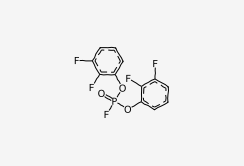 O=P(F)(Oc1cccc(F)c1F)Oc1cccc(F)c1F